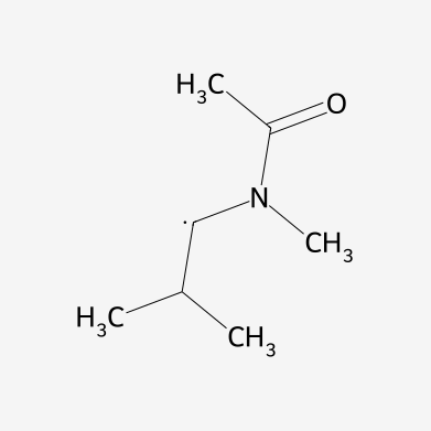 CC(=O)N(C)[CH]C(C)C